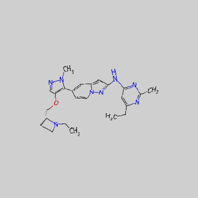 CCc1cc(Nc2cc3cc(-c4c(OC[C@H]5CCN5CC)cnn4C)ccn3n2)nc(C)n1